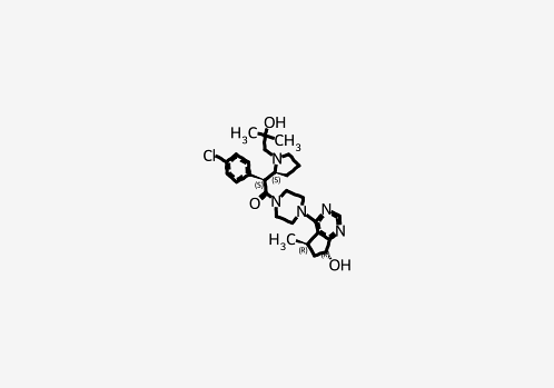 C[C@@H]1C[C@@H](O)c2ncnc(N3CCN(C(=O)[C@@H](c4ccc(Cl)cc4)[C@@H]4CCCN4CC(C)(C)O)CC3)c21